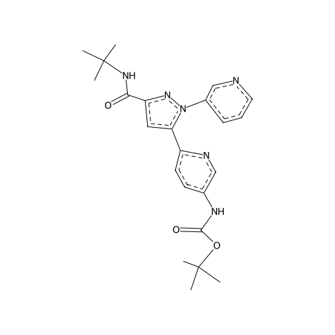 CC(C)(C)NC(=O)c1cc(-c2ccc(NC(=O)OC(C)(C)C)cn2)n(-c2cccnc2)n1